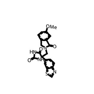 COc1ccc2c(c1)C(=O)N(CC1(c3ccc4ncsc4c3)NC(=O)NC1=O)C2